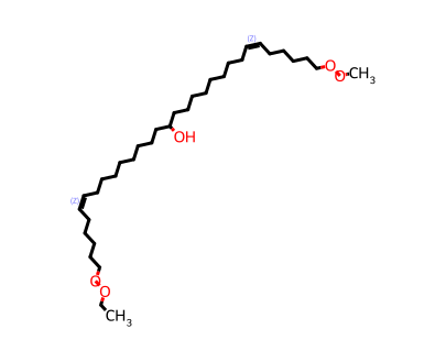 CCOOCCCCC/C=C\CCCCCCCCC(O)CCCCCCCC/C=C\CCCCCOOC